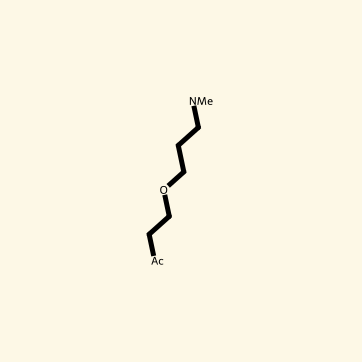 CNCCCOCCC(C)=O